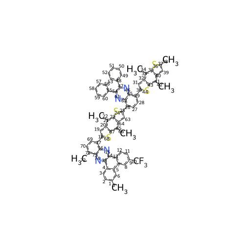 Cc1ccc2c(c1)c1cc(C(F)(F)F)ccc1c1nc3c(-c4cc5c(C)c6sc(-c7ccc(-c8cc9c(C)c%10sc(C)cc%10c(C)c9s8)c8nc(-c9ccccc9)c(-c9ccccc9)nc78)cc6c(C)c5s4)ccc(C)c3nc21